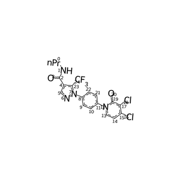 CCCNC(=O)c1cnn(-c2ccc(-n3ccc(Cl)c(Cl)c3=O)cc2)c1C(F)(F)F